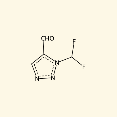 O=Cc1cnnn1C(F)F